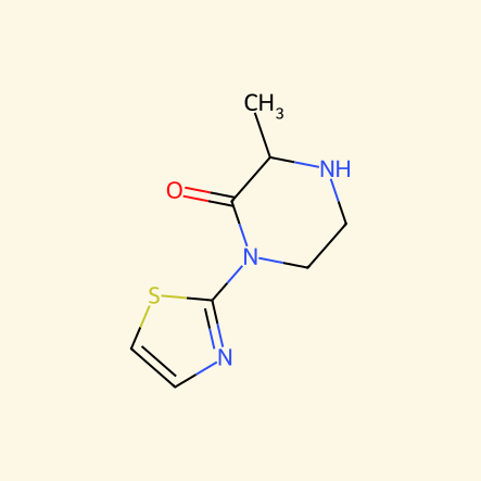 CC1NCCN(c2nccs2)C1=O